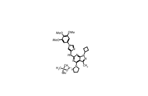 COc1cc(-n2cnc(Nc3nc(N4CCC[C@@H]4CO[Si](C)(C)C(C)(C)C)c4c(C)nn(C5CCC5)c4n3)c2)cc(OC)c1OC